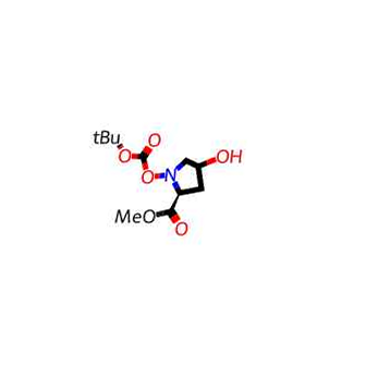 COC(=O)[C@@H]1CC(O)CN1OC(=O)OC(C)(C)C